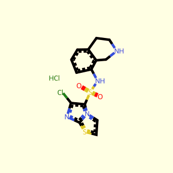 Cl.O=S(=O)(Nc1cccc2c1CNCC2)c1c(Cl)nc2sccn12